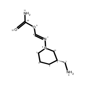 NC[C@@H]1CCCN(/N=C/OC(N)=O)C1